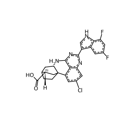 Nc1nc(-c2c[nH]c3c(F)cc(F)cc23)nc2cc(Cl)cc(C34CCC(CC3)[C@@H](C(=O)O)C4)c12